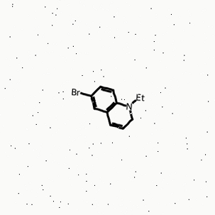 CCN1CC=Cc2cc(Br)ccc21